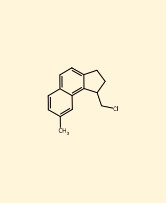 Cc1ccc2ccc3c(c2c1)C(CCl)CC3